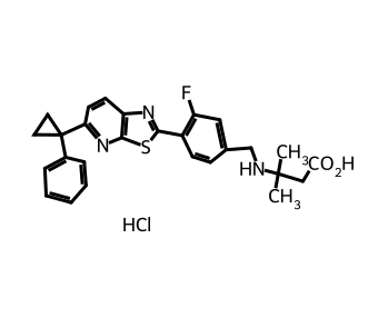 CC(C)(CC(=O)O)NCc1ccc(-c2nc3ccc(C4(c5ccccc5)CC4)nc3s2)c(F)c1.Cl